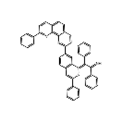 N=C(/C(=C1\NC(c2ccccc2)=Cc2ccc(-c3ccc4ccc5ccc(-c6ccccc6)nc5c4n3)cc21)c1ccccc1)c1ccccc1